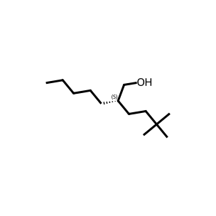 CCCCC[C@H](CO)CCC(C)(C)C